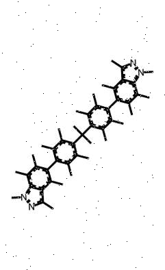 Cc1c(C)c(C(C)(C)c2c(C)c(C)c(-c3c(C)c(C)c4c(c(C)nn4C)c3C)c(C)c2C)c(C)c(C)c1-c1c(C)c(C)c2c(c(C)nn2C)c1C